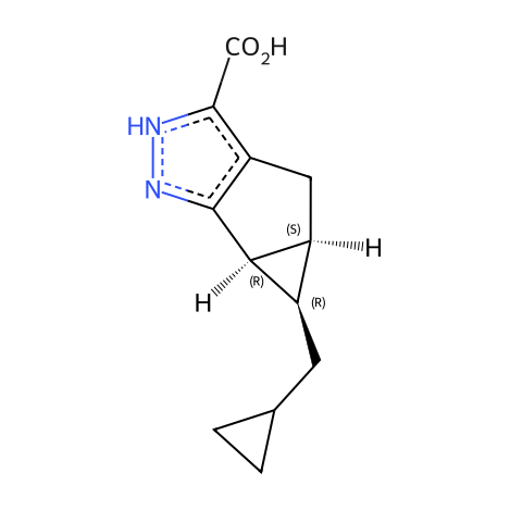 O=C(O)c1[nH]nc2c1C[C@H]1[C@@H](CC3CC3)[C@@H]21